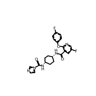 O=C(N[C@H]1CC[C@@H](NC(=O)n2ccnc2)CC1)c1cc(F)cnc1Oc1ccc(F)cc1